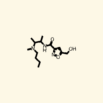 CCCCN(C)C(C)C(C)NC(=O)c1cc(CO)on1